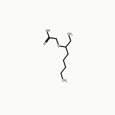 CCCCCC(CC)OCC(=O)O